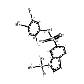 CC(C)[Si](C(C)C)(C(C)C)n1ccc2ccc(S(=O)(=O)Nc3cc(F)c(Br)cc3F)cc21